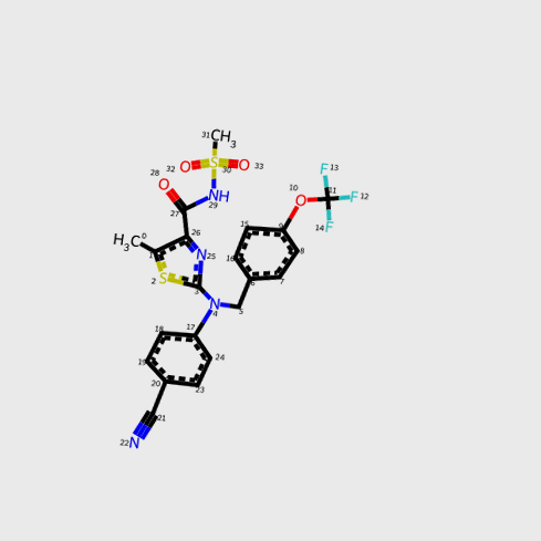 Cc1sc(N(Cc2ccc(OC(F)(F)F)cc2)c2ccc(C#N)cc2)nc1C(=O)NS(C)(=O)=O